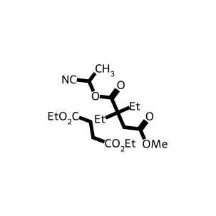 CCC(CC)(CC(=O)OC)C(=O)OC(C)C#N.CCOC(=O)CCC(=O)OCC